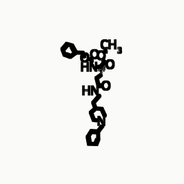 CCOC(=O)[C@H](CCC(=O)NCCC1CCN(Cc2ccccc2)CC1)NC(=O)OCc1ccccc1